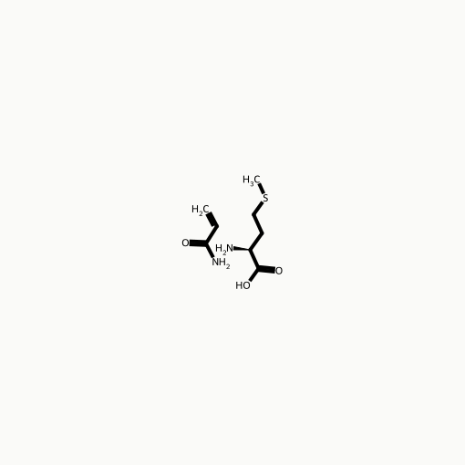 C=CC(N)=O.CSCC[C@H](N)C(=O)O